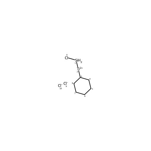 Cl[SiH2][Ti+2][CH]1CCCCC1.[Cl-].[Cl-]